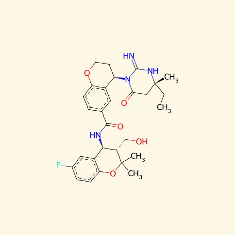 CC[C@]1(C)CC(=O)N([C@@H]2CCOc3ccc(C(=O)N[C@@H]4c5cc(F)ccc5OC(C)(C)[C@H]4CO)cc32)C(=N)N1